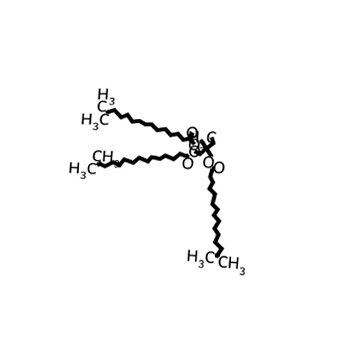 CCC(COC(=O)CCCCCCCCCCCCC(C)C)(COC(=O)CCCCCCCCCCCCC(C)C)COC(=O)CCCCCCCCCCCCC(C)C